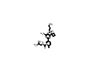 C=C(/C=C\C(=C/C)c1nc(N)cc(C2(S(=O)(=O)CCCO)CCC2)n1)NC(=O)NCC(=N)N